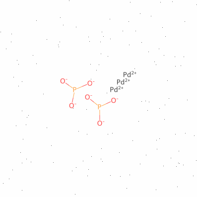 [O-]P([O-])[O-].[O-]P([O-])[O-].[Pd+2].[Pd+2].[Pd+2]